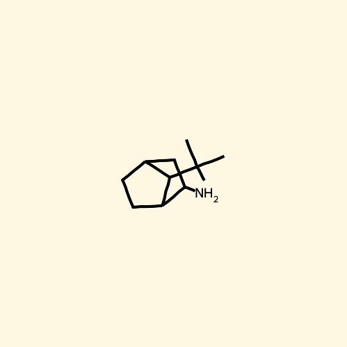 CC(C)(C)C1C2CCC1C(N)C2